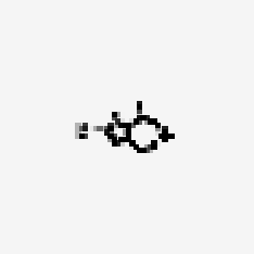 CC1CN(C)CCc2cc(Br)sc21